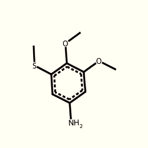 COc1cc(N)cc(SC)c1OC